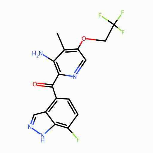 Cc1c(OCC(F)(F)F)cnc(C(=O)c2ccc(F)c3[nH]ncc23)c1N